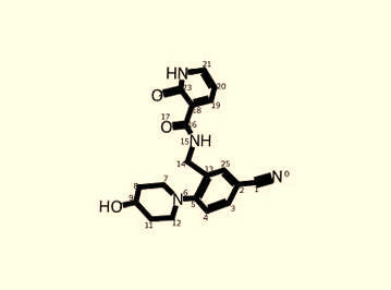 N#Cc1ccc(N2CCC(O)CC2)c(CNC(=O)c2ccc[nH]c2=O)c1